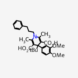 COc1ccc(C2(C(C)(C)C)C(C(=O)O)=C(C)N(CCCc3ccccc3)C(C)=C2C(=O)O)cc1OC